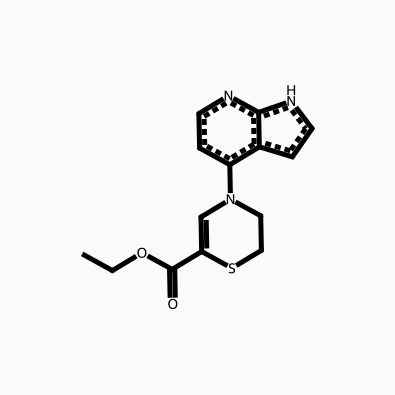 CCOC(=O)C1=CN(c2ccnc3[nH]ccc23)CCS1